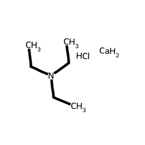 CCN(CC)CC.Cl.[CaH2]